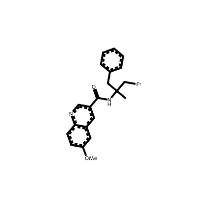 COc1ccc2ncc(C(=O)NC(C)(Cc3ccccc3)CC(C)C)cc2c1